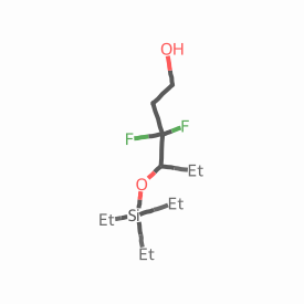 CCC(O[Si](CC)(CC)CC)C(F)(F)CCO